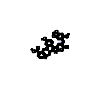 CCCCn1ncc(/C=C(/Cc2cc3c(cc2OC)OCO3)C(=O)O)c1-c1ccc(OC)cc1OCc1ccccc1C(=O)OC